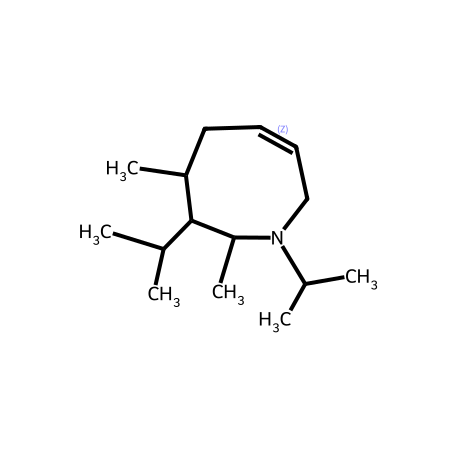 CC(C)C1C(C)C/C=C\CN(C(C)C)C1C